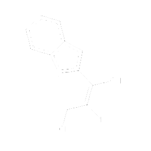 CC/C(I)=C(/C)c1cc2ccccc2s1